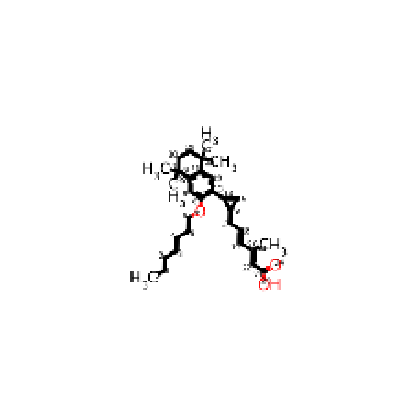 CCCCCCCOc1cc2c(cc1C1CC1C/C=C/C(C)=C/C(=O)O)C(C)(C)CCC2(C)C